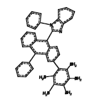 Bc1c(B)c(B)c(-c2ccc3c(-c4nc5ccccc5n4-c4ccccc4)c4ccccc4c(-c4ccccc4)c3c2)c(B)c1B